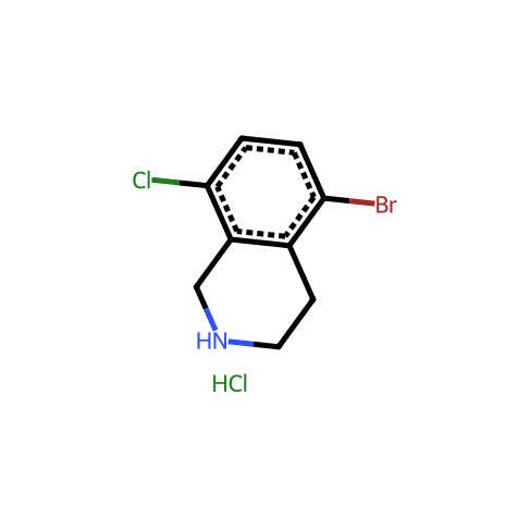 Cl.Clc1ccc(Br)c2c1CNCC2